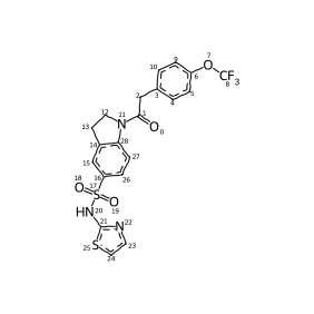 O=C(Cc1ccc(OC(F)(F)F)cc1)N1CCc2cc(S(=O)(=O)Nc3nccs3)ccc21